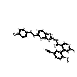 COc1ccc(C#N)cc1-c1cc(C)ncc1C(=O)Nc1nc2ccc(CCc3ccc(Cl)cc3)nc2s1